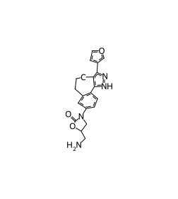 NCC1CN(c2ccc3c(c2)CCCc2c(-c4ccoc4)n[nH]c2-3)C(=O)O1